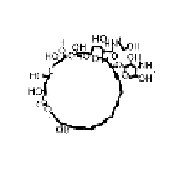 C[C@@H](CO)NC(=O)C1[C@@H]2CC(O[C@@H]3OCC(O)[C@H](N)[C@@H]3O)/C=C/C=C/C=C/C=C/C=C/C=C/C=C/[C@H](C)C(O)C[C@H](C)OC(=O)CC(O)CC(O)CCC(O)C(O)CC(O)CC(O)(C[C@@H]1O)O2